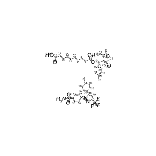 CO[C@@H]1[C@H](OC(O)/C=C/C=C/C=C/C=C/C(=O)O)CC[C@]2(CO2)[C@H]1[C@@]1(C)O[C@@H]1CC=C(C)C.Cc1ccc(-c2cc(C(F)(F)F)nn2-c2ccc(S(N)(=O)=O)cc2)cc1